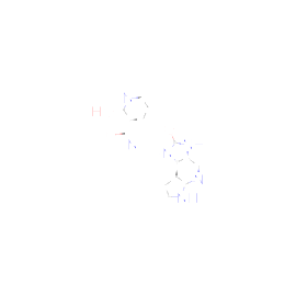 O=C(c1cccnc1O)N1CCC[C@@H](n2c(=O)[nH]c3cnc4[nH]ccc4c32)C1